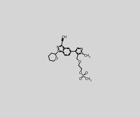 C#Cc1nn(C2CCCCO2)c2ccc(-c3cnn(C)c3COCCOS(C)(=O)=O)cc12